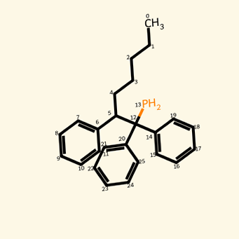 CCCCCC(c1ccccc1)C(P)(c1ccccc1)c1ccccc1